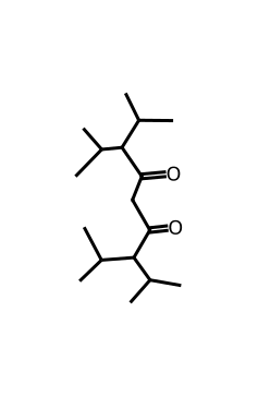 CC(C)C(C(=O)CC(=O)C(C(C)C)C(C)C)C(C)C